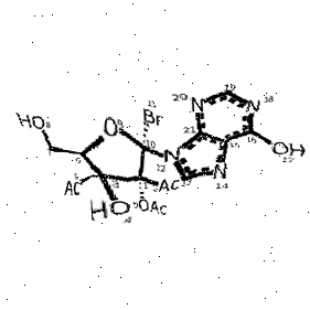 CC(=O)O[C@]1(C(C)=O)[C@@](O)(C(C)=O)[C@@H](CO)O[C@@]1(Br)n1cnc2c(O)ncnc21